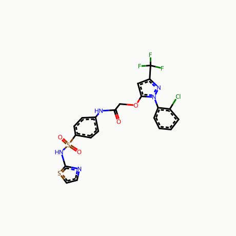 O=C(COc1cc(C(F)(F)F)nn1-c1ccccc1Cl)Nc1ccc(S(=O)(=O)Nc2nccs2)cc1